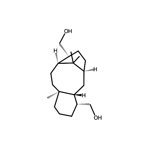 CC1(C)[C@H]2CC[C@@H](CO)[C@@H]1CC[C@]1(C)CCC[C@@H](CO)[C@H]1C2